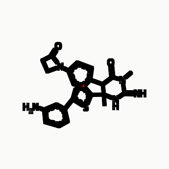 CN1C(=N)NC(C)(c2ccc(-c3cccc(N)c3)s2)C(c2ccc(N3CCC3=O)cc2)C1=O